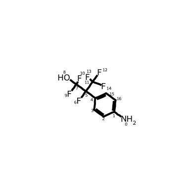 Nc1ccc(C(F)(C(O)(F)F)C(F)(F)F)cc1